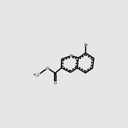 COC(=O)c1cnc2c(Br)cccc2c1